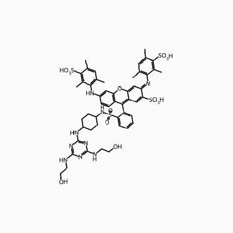 Cc1cc(C)c(S(=O)(=O)O)c(C)c1/N=c1\cc2oc3cc(Nc4c(C)cc(C)c(S(=O)(=O)O)c4C)ccc3c(-c3ccccc3S(=O)(=O)NC3CCC(Nc4nc(NCCO)nc(NCCO)n4)CC3)c-2cc1S(=O)(=O)O